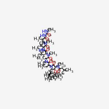 C=C(C(=O)N(C)[C@@H](CC(C)C)C(=O)N[C@H](C(=O)N(C)CC(C)C(=O)NC(=O)NC)C(C)C)N(C)C(=O)C(CC)N1C(=O)[C@@H](N(C)C(=O)CC(C)C)[C@H](O[Si](C)(C)C(C)(C)C)[C@H]1C/C=C/C